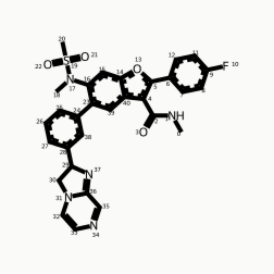 CNC(=O)c1c(-c2ccc(F)cc2)oc2cc(N(C)S(C)(=O)=O)c(-c3cccc(C4CN5C=CN=CC5=N4)c3)cc12